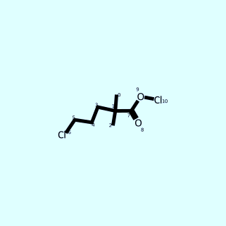 CC(C)(CCCCl)C(=O)OCl